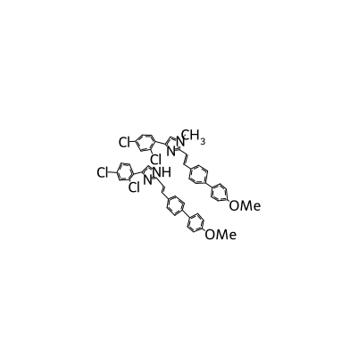 COc1ccc(-c2ccc(C=Cc3nc(-c4ccc(Cl)cc4Cl)c[nH]3)cc2)cc1.COc1ccc(-c2ccc(C=Cc3nc(-c4ccc(Cl)cc4Cl)cn3C)cc2)cc1